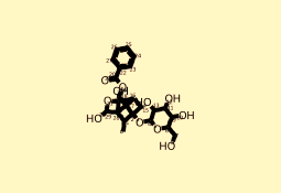 CC1C2(OC3OC(CO)C(O)C(O)C3O)CC3C2(COC(=O)c2ccccc2)C12C(O)O[C@@]32O